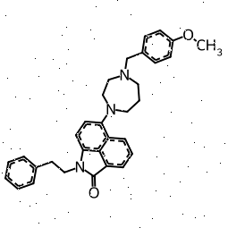 COc1ccc(CN2CCCN(c3ccc4c5c(cccc35)C(=O)N4CCc3ccccc3)CC2)cc1